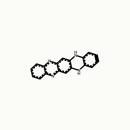 c1cc2c(cc#1)Nc1cc3nc4ccccc4nc3cc1N2